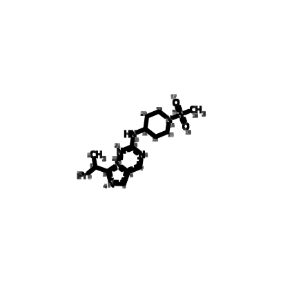 CC(C)C(C)c1ncc2cnc(NC3CCN(S(C)(=O)=O)CC3)nn12